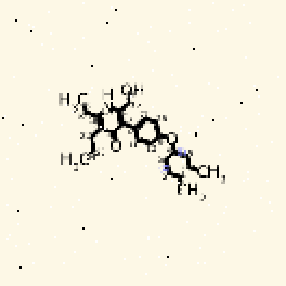 C=C/C=C\C(=C/C=C)Oc1ccc(-c2c(CO)[nH]c(CC)c(CCC)c2=O)cc1